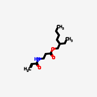 C=CC(=O)NCCC(=O)OCC(CC)CCCC